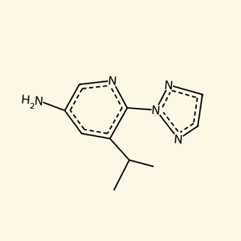 CC(C)c1cc(N)cnc1-n1nccn1